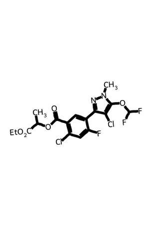 CCOC(=O)C(C)OC(=O)c1cc(-c2nn(C)c(OC(F)F)c2Cl)c(F)cc1Cl